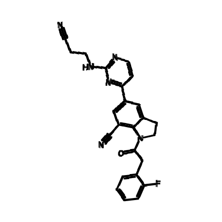 N#CCCNc1nccc(-c2cc(C#N)c3c(c2)CCN3C(=O)Cc2ccccc2F)n1